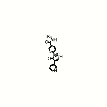 CC(C)(C)NC(=O)c1ccc(-n2[nH]cc(-c3cccnc3)c2=O)nc1.Cl